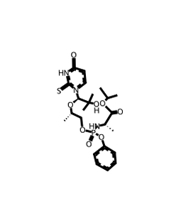 CC(C)OC(=O)[C@H](C)N[P@@](=O)(OC[C@H](C)O[C@@H](n1ccc(=O)[nH]c1=S)C(C)(C)O)Oc1ccccc1